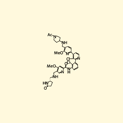 COc1cc(C(=O)Nc2cccc(-c3nccc(-c4ccc(CNC5CCN(C(C)=O)CC5)c(OC)n4)c3Cl)c2Cl)ncc1CNC[C@@H]1CCC(=O)N1